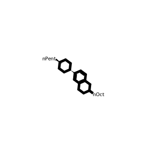 CCCCCCCCC1CCc2cc([C@H]3CC[C@H](CCCCC)CC3)ccc2C1